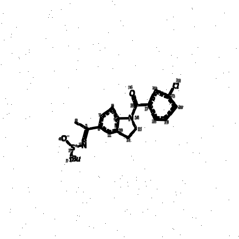 CC(=N[S@+]([O-])C(C)(C)C)c1ccc2c(c1)CCN2C(=O)c1cccc(Cl)c1